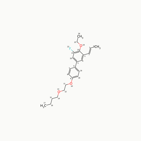 C/C=C/c1cc(-c2ccc(OCCOCCCC)cc2)cc(F)c1OCC